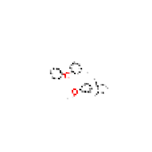 C=CC(CCCc1cccc(Oc2ccccc2)c1)(c1ccc(OCC)cc1)C(C)C